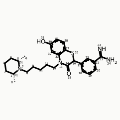 C[C@@H]1CCC[C@H](C)N1CCCCCN1C(=O)C(c2cccc(C(=N)N)c2)Sc2ccc(O)cc21